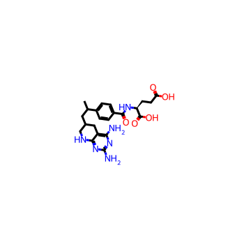 CC(CC1CNc2nc(N)nc(N)c2C1)c1ccc(C(=O)N[C@@H](CCC(=O)O)C(=O)O)cc1